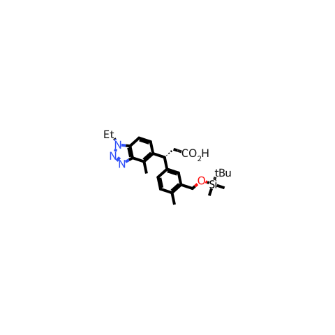 CCn1nnc2c(C)c([C@H](CC(=O)O)c3ccc(C)c(CO[Si](C)(C)C(C)(C)C)c3)ccc21